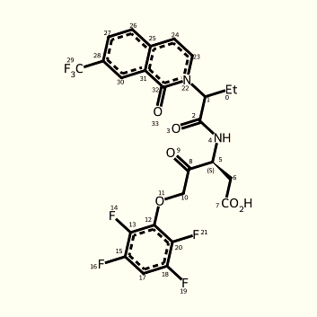 CCC(C(=O)N[C@@H](CC(=O)O)C(=O)COc1c(F)c(F)cc(F)c1F)n1ccc2ccc(C(F)(F)F)cc2c1=O